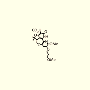 COCCCOc1cc2c(nc1OC)-c1[nH]c(=O)c(C(=O)O)c3c1C(CO2)C(C)(C)O3